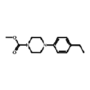 CCc1ccc(N2CCN(C(=O)OC)CC2)cc1